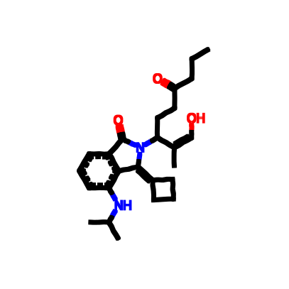 CCCC(=O)CCC(/C(C)=C\O)N1C(=O)c2cccc(NC(C)C)c2C1=C1CCC1